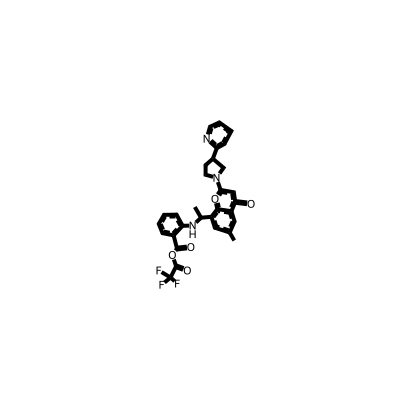 Cc1cc(C(C)Nc2ccccc2C(=O)OC(=O)C(F)(F)F)c2oc(N3CCC(c4ccccn4)C3)cc(=O)c2c1